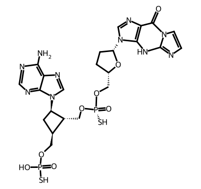 Nc1ncnc2c1ncn2[C@@H]1C[C@H](COP(=O)(O)S)[C@H]1CO[P@@](=O)(S)OC[C@@H]1CC[C@H](n2cnc3c(=O)n4ccnc4[nH]c32)O1